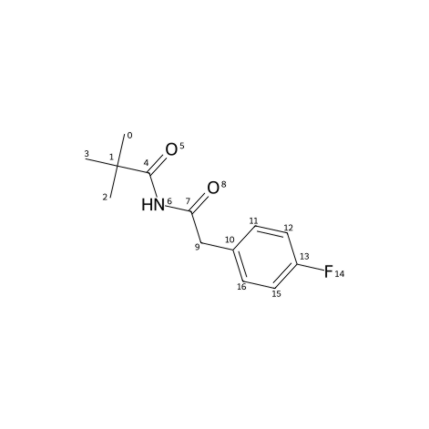 CC(C)(C)C(=O)NC(=O)Cc1ccc(F)cc1